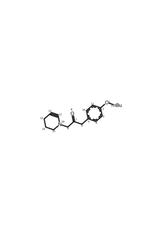 CCCCOc1ccc(CC(=O)CN2C#CCCC2)cc1